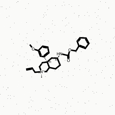 C=CC[N@@+]1(C)CC[C@@]2(c3cccc(OC)c3)C[C@H](NC(=O)OCc3ccccc3)CCC2C1